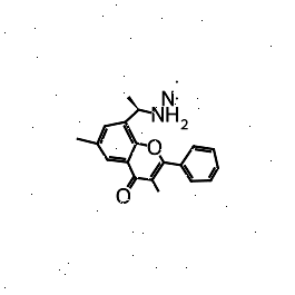 Cc1cc([C@@H](C)N)c2oc(-c3ccccc3)c(C)c(=O)c2c1.[N]